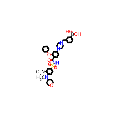 CN(c1ccc(S(=O)(=O)NC(=O)c2ccc(N3CCN(Cc4cccc(B(O)O)c4)CC3)cc2Oc2ccccc2)cc1[N+](=O)[O-])C1CCOCC1